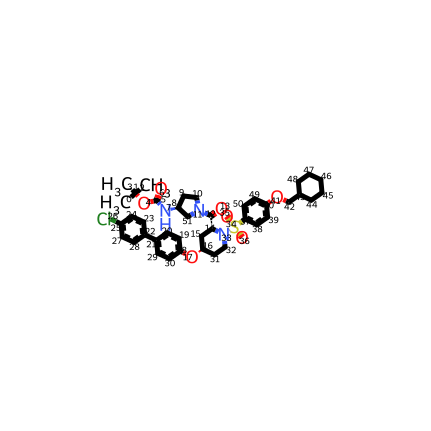 CC(C)(C)OC(=O)N[C@H]1CCN(C(=O)[C@H]2C[C@@H](Oc3ccc(-c4ccc(Cl)cc4)cc3)CCN2S(=O)(=O)c2ccc(OCC3CCCCC3)cc2)C1